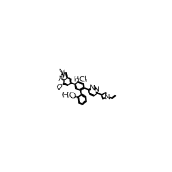 CCN1CC(c2ccc(-c3ccc(-c4cc(OC)c5nn(C)cc5c4)cc3-c3ccccc3O)nn2)C1.Cl